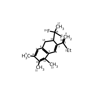 C=C(CC)C1=Cc2c(cc(C)c(C)c2C)CC1C(C)(F)F